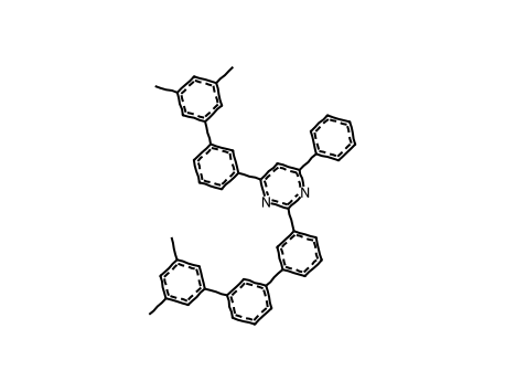 Cc1cc(C)cc(-c2cccc(-c3cccc(-c4nc(-c5ccccc5)cc(-c5cccc(-c6cc(C)cc(C)c6)c5)n4)c3)c2)c1